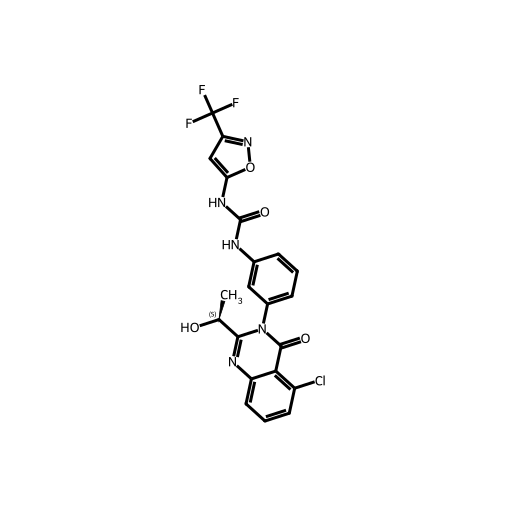 C[C@H](O)c1nc2cccc(Cl)c2c(=O)n1-c1cccc(NC(=O)Nc2cc(C(F)(F)F)no2)c1